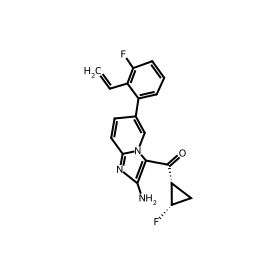 C=Cc1c(F)cccc1-c1ccc2nc(N)c(C(=O)[C@@H]3C[C@@H]3F)n2c1